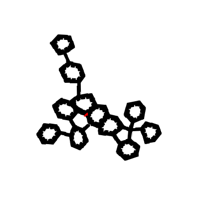 c1ccc(-c2ccc(-c3ccc(N(c4ccc5c(c4)-c4ccccc4C5(c4ccccc4)c4ccccc4)c4cccc(-c5ccccc5)c4-c4ccccc4-c4ccccc4)cc3)cc2)cc1